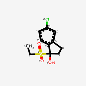 CCS(=O)(=O)C1(O)CCc2cc(Cl)ccc21